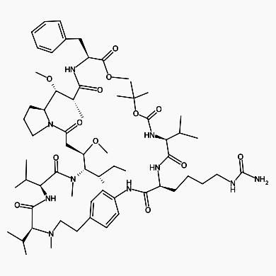 CC[C@H](C)[C@@H]([C@@H](CC(=O)N1CCC[C@H]1[C@H](OC)[C@@H](C)C(=O)N[C@@H](Cc1ccccc1)C(=O)OC)OC)N(C)C(=O)[C@@H](NC(=O)[C@H](C(C)C)N(C)CCc1ccc(NC(=O)[C@H](CCCCNC(N)=O)NC(=O)[C@@H](NC(=O)OC(C)(C)C)C(C)C)cc1)C(C)C